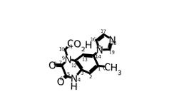 Cc1cc2[nH]c(=O)c(=O)n(CC(=O)O)c2cc1-n1ccnc1